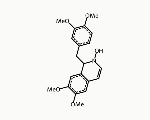 COc1ccc(CC2c3cc(OC)c(OC)cc3C=CN2O)cc1OC